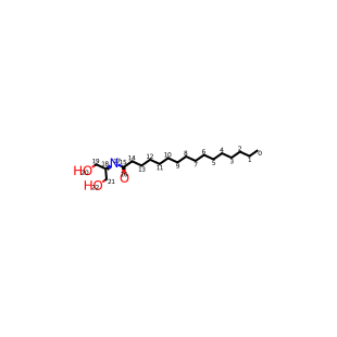 CCCCCCCCCCCCCCCC(=O)N=C(CO)CO